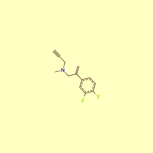 C#CCN(C)CC(=C)c1ccc(F)c(F)c1